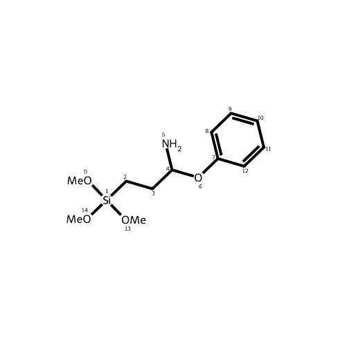 CO[Si](CCC(N)Oc1ccccc1)(OC)OC